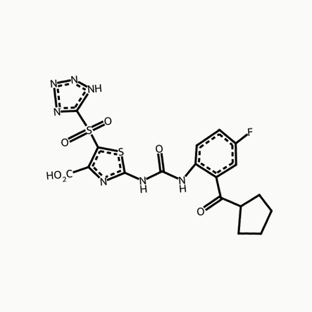 O=C(Nc1nc(C(=O)O)c(S(=O)(=O)c2nnn[nH]2)s1)Nc1ccc(F)cc1C(=O)C1CCCC1